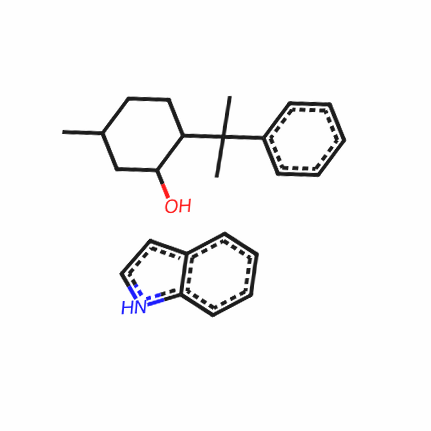 CC1CCC(C(C)(C)c2ccccc2)C(O)C1.c1ccc2[nH]ccc2c1